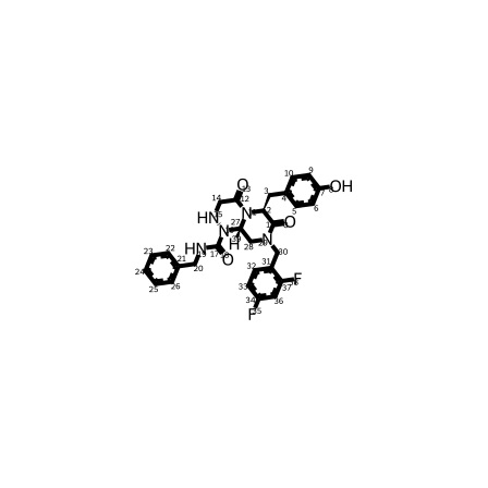 O=C1[C@H](Cc2ccc(O)cc2)N2C(=O)CNN(C(=O)NCc3ccccc3)[C@H]2CN1Cc1ccc(F)cc1F